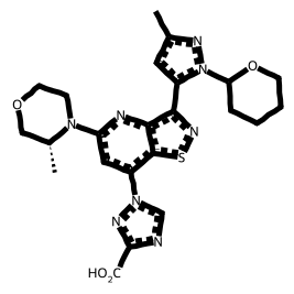 Cc1cc(-c2nsc3c(-n4cnc(C(=O)O)n4)cc(N4CCOC[C@H]4C)nc23)n(C2CCCCO2)n1